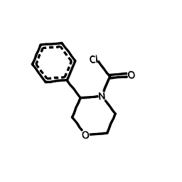 O=C(Cl)N1CCOCC1c1ccccc1